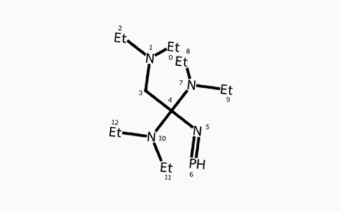 CCN(CC)CC(N=P)(N(CC)CC)N(CC)CC